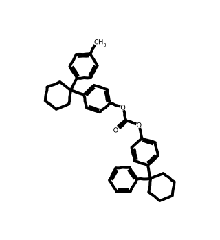 Cc1ccc(C2(c3ccc(OC(=O)Oc4ccc(C5(c6ccccc6)CCCCC5)cc4)cc3)CCCCC2)cc1